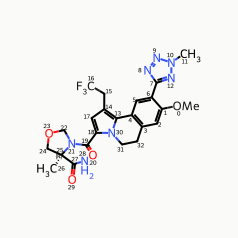 COc1cc2c(cc1-c1nnn(C)n1)-c1c(CC(F)(F)F)cc(C(=O)N3COC[C@]3(C)C(N)=O)n1CC2